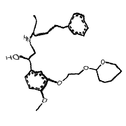 COc1ccc(C(O)CNC(C)CCc2ccccc2)cc1OCCOC1CCCCO1